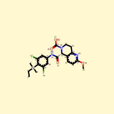 CC[Si](C)(C)c1c(F)cc(NC(=O)[C@H]2c3ccc(OC)nc3CCN2C(=O)O)cc1F